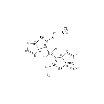 CCC1=C([Si](C)(C)C2=C(CC)SC3=CC=CC32)C2C=CC=C2S1.[Cl-].[Cl-].[Zr+2]